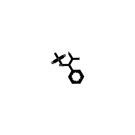 CS(=O)(=O)NI(c1ccccc1)C(I)I